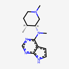 C[C@@H]1CCN(C)C[C@@H]1N(C)c1ncnc2[nH]ccc12